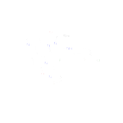 CC(C)(C)C(=O)n1nc(-c2c(-c3ccccn3)ccc(=O)n2Cc2ccsn2)c(F)c1NCc1ccc(Cl)s1